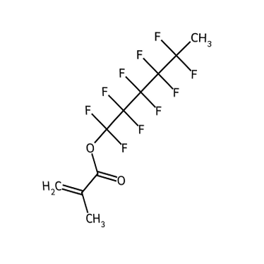 C=C(C)C(=O)OC(F)(F)C(F)(F)C(F)(F)C(F)(F)C(C)(F)F